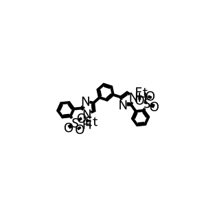 CCOS(=O)(=O)c1ccccc1-c1nc(-c2cccc(-c3c[nH]c(-c4ccccc4S(=O)(=O)OCC)n3)c2)c[nH]1